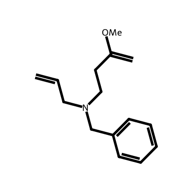 C=CCN(CCC(=C)OC)Cc1ccccc1